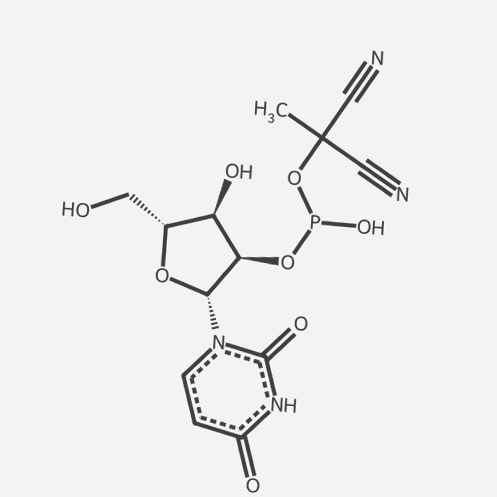 CC(C#N)(C#N)OP(O)O[C@@H]1[C@H](O)[C@@H](CO)O[C@H]1n1ccc(=O)[nH]c1=O